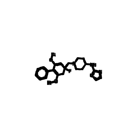 CCOC1=CC(F)(CN2CCC(Nc3ncco3)CC2)CC(OCC)=C1c1ccccc1